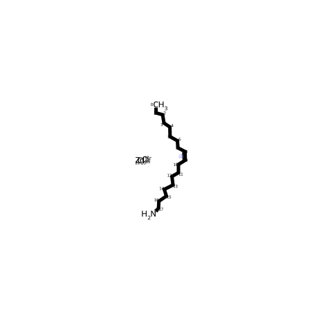 CCCCCCCC/C=C\CCCCCCCCN.[Cl-].[Cl-].[Zn+2]